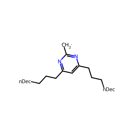 [CH2]c1nc(CCCCCCCCCCCCC)cc(CCCCCCCCCCCCC)n1